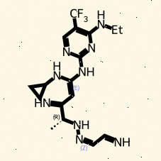 CCNc1nc(N/C(=C/C(=N)[C@@H](C)N/N=C\C=N)NC2CC2)ncc1C(F)(F)F